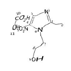 Cc1ncc([N+](=O)[O-])n1CCO.O=C(O)O